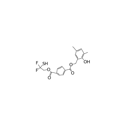 Cc1cc(C)c(O)c(COC(=O)c2ccc(C(=O)OCC(F)(F)S)cc2)c1